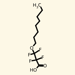 CCCCCCCCOC(F)(F)C(F)(F)C(=O)O